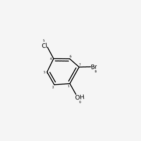 Oc1c[c]c(Cl)cc1Br